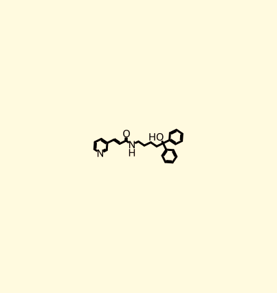 O=C(C=Cc1cccnc1)NCCCCC(O)(c1ccccc1)c1ccccc1